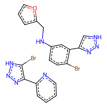 Brc1[nH]nnc1-c1ccccn1.Brc1ccc(NCc2ccco2)cc1-c1c[nH]nn1